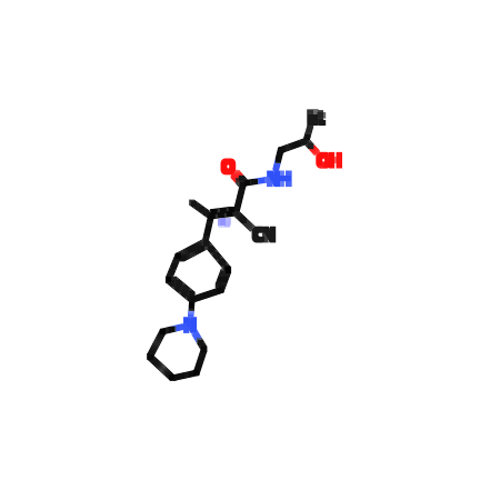 CCC(O)CNC(=O)/C(C#N)=C(\C)c1ccc(N2CCCCC2)cc1